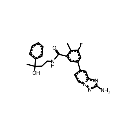 Cc1c(F)cc(-c2ccn3nc(N)nc3c2)cc1C(=O)NCCC(C)(O)c1ccccc1